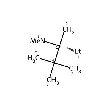 CC[C@@](C)(NC)C(C)(C)C